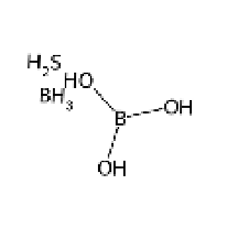 B.OB(O)O.S